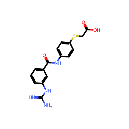 N=C(N)Nc1cccc(C(=O)Nc2ccc(SCC(=O)O)cc2)c1